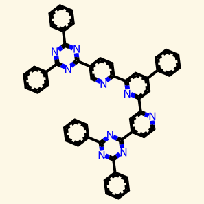 c1ccc(-c2cc(-c3ccc(-c4nc(-c5ccccc5)nc(-c5ccccc5)n4)cn3)nc(-c3cc(-c4nc(-c5ccccc5)nc(-c5ccccc5)n4)ccn3)c2)cc1